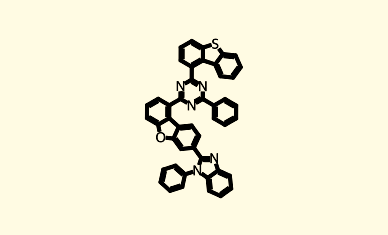 c1ccc(-c2nc(-c3cccc4oc5cc(-c6nc7ccccc7n6-c6ccccc6)ccc5c34)nc(-c3cccc4sc5ccccc5c34)n2)cc1